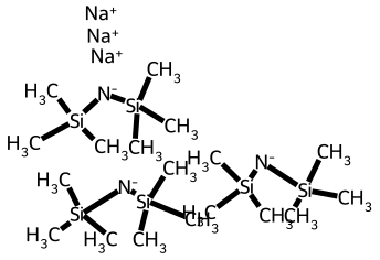 C[Si](C)(C)[N-][Si](C)(C)C.C[Si](C)(C)[N-][Si](C)(C)C.C[Si](C)(C)[N-][Si](C)(C)C.[Na+].[Na+].[Na+]